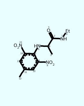 CCNC(=O)C(C)Nc1c([N+](=O)[O-])cc(C)cc1[N+](=O)[O-]